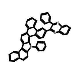 c1ccc(-c2nc3ccccc3nc2-c2ccc3c(c2)c2ccccc2c2ccc4c5c6ccccc6ccc5n(-c5ccccc5)c4c23)cc1